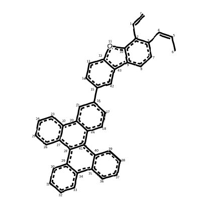 C=Cc1c(/C=C\C)ccc2c1oc1ccc(-c3ccc4c(c3)c3ccccc3c3c5ccccc5c5ccccc5c43)cc12